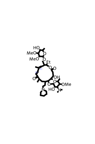 CCC1OC(=O)CC(O)C(C)C(OC2OC(C)C(OC)C(N(C)C)C2O)C(CCN2CCCCC2)CC(C)C(=O)/C=C/C(C)=C/C1COC1OC(C)C(O)C(OC)C1OC